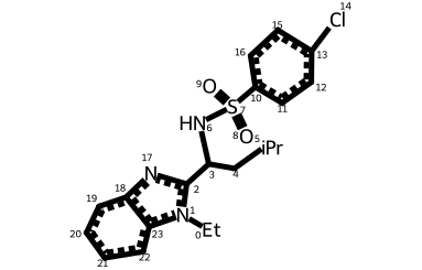 CCn1c(C(CC(C)C)NS(=O)(=O)c2ccc(Cl)cc2)nc2ccccc21